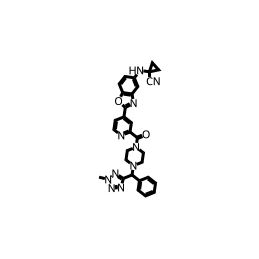 Cn1nnc(C(c2ccccc2)N2CCN(C(=O)c3cc(-c4nc5cc(NC6(C#N)CC6)ccc5o4)ccn3)CC2)n1